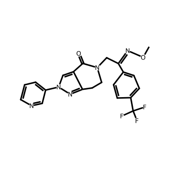 CO/N=C(/CN1CCc2nn(-c3cccnc3)cc2C1=O)c1ccc(C(F)(F)F)cc1